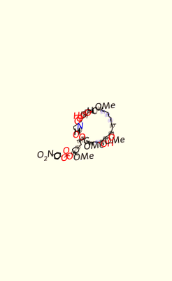 CO[C@H]1C[C@@H]2CC[C@@H](C)[C@@](O)(O2)C(=O)C(=O)N2CCCC[C@H]2C(=O)O[C@H]([C@H](C)C[C@@H]2CC[C@@H](OC(=O)Oc3ccc([N+](=O)[O-])cc3)[C@H](OC)C2)C[C@@H](OC)[C@H](C)/C=C(\C)[C@@H](O)[C@@H](OC)C(=O)[C@H](C)C[C@H](C)/C=C/C=C/C=C/1C